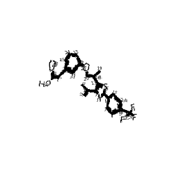 CC(C)c1nc(-c2ccc(C(F)(F)F)cc2)sc1C(C)COc1cccc(CC(=O)O)c1